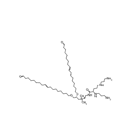 C[N+](C)(CCNC(=O)C(CCCNCCCN)NCCCN)CC(COCCCCCCCCC=CCCCCCCCC=O)OCCCCCCCCC=CCCCCCCCC=O